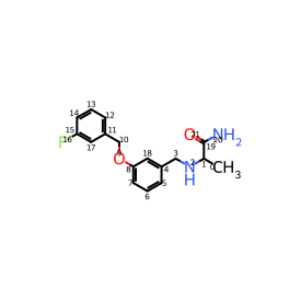 CC(NCc1cccc(OCc2cccc(F)c2)c1)C(N)=O